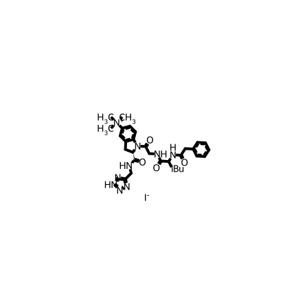 CCC(C)C(NC(=O)Cc1ccccc1)C(=O)NCC(=O)N1c2ccc([N+](C)(C)C)cc2C[C@H]1C(=O)NCc1nn[nH]n1.[I-]